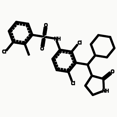 Cc1c(Cl)cccc1S(=O)(=O)Nc1ccc(Cl)c(C(C2CCCCC2)C2CCNC2=O)c1Cl